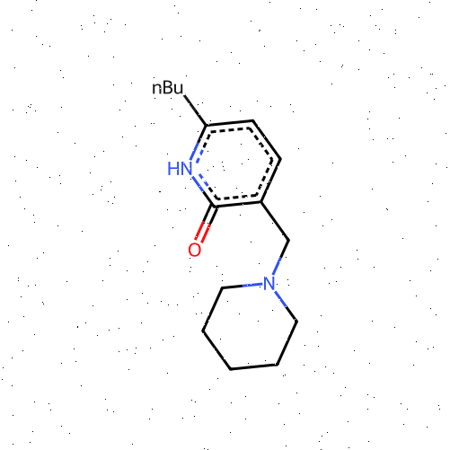 CCCCc1ccc(CN2CCCCC2)c(=O)[nH]1